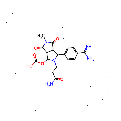 CN1C(=O)C2C(C1=O)C(c1ccc(C(=N)N)cc1)N(CCC(N)=O)C2OC(=O)O